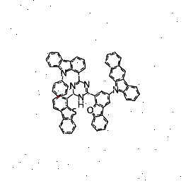 c1ccc(-n2c3ccccc3c3cccc(C4=NC(c5cccc6c5sc5ccccc56)NC(c5cc(-n6c7ccccc7c7cc8ccccc8cc76)cc6c5oc5ccccc56)=N4)c32)cc1